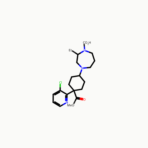 CCC1CN(C2CCC(C(=O)OC)(c3ncccc3Cl)CC2)CCCN1C(=O)O